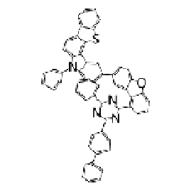 c1ccc(-c2ccc(-c3nc(-c4ccccc4)nc(-c4cccc5oc6ccc(-c7ccc8c(c7)c7c9sc%10ccccc%10c9ccc7n8-c7ccccc7)cc6c45)n3)cc2)cc1